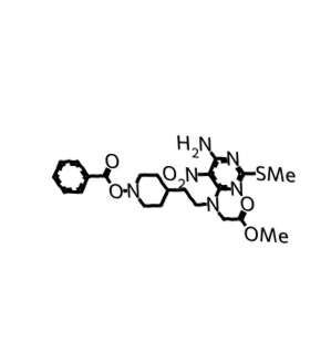 COC(=O)CN(CCC1CCN(OC(=O)c2ccccc2)CC1)c1nc(SC)nc(N)c1[N+](=O)[O-]